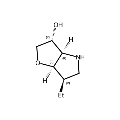 CC[C@@H]1CN[C@H]2[C@@H]1OC[C@@H]2O